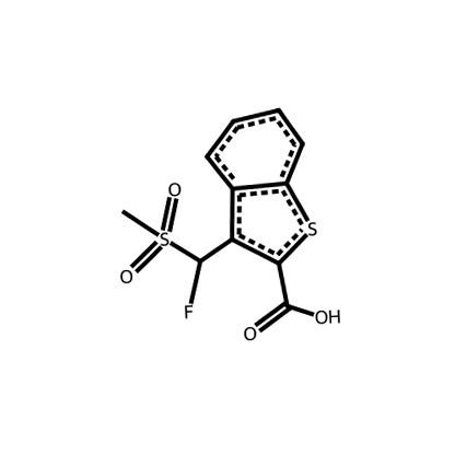 CS(=O)(=O)C(F)c1c(C(=O)O)sc2ccccc12